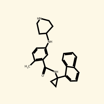 Cc1ccc(NC2CCNCC2)cc1C(=O)NC1(c2cccc3ccccc23)CC1